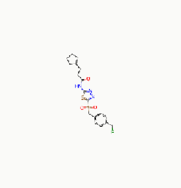 O=C(CCC1CCCC1)Nc1nnc(S(=O)(=O)Cc2ccc(CF)cc2)s1